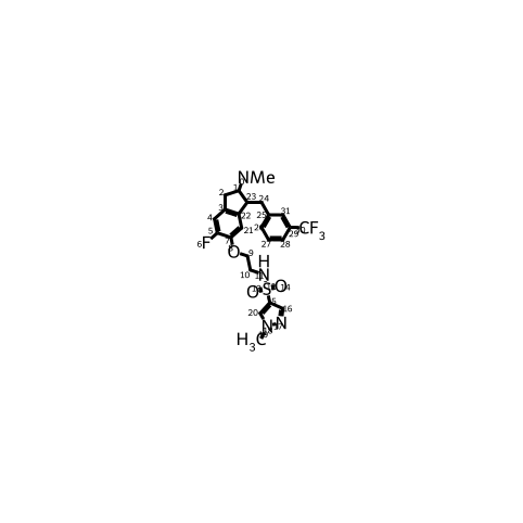 CNC1Cc2cc(F)c(OCCNS(=O)(=O)c3cnn(C)c3)cc2C1Cc1cccc(C(F)(F)F)c1